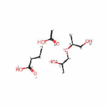 CC(=O)O.CC(O)COC(C)CO.CCCC(=O)O